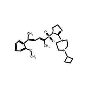 COc1ccccc1/C(C)=C/C=C(\C)S(=O)(=O)N1CCN=C1N1CCN(C2CCC2)CC1